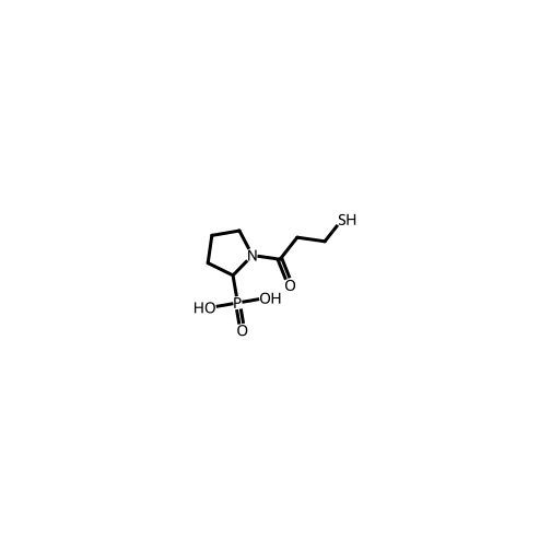 O=C(CCS)N1CCCC1P(=O)(O)O